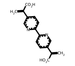 C=C(C(=O)O)c1ccc(-c2ccc(C(=C)C(=O)O)cn2)nc1